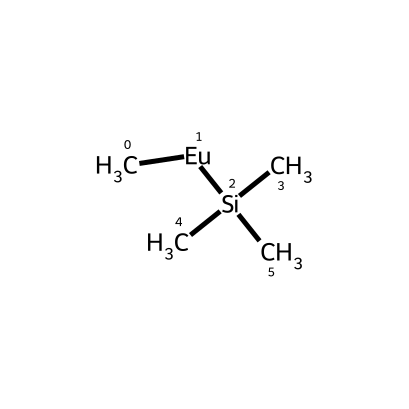 [CH3][Eu][Si](C)(C)C